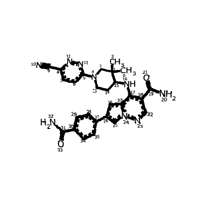 CC1(C)CN(c2ccc(C#N)nn2)CCC1Nc1c(C(N)=O)cnn2cc(-c3ccc(C(N)=O)cc3)cc12